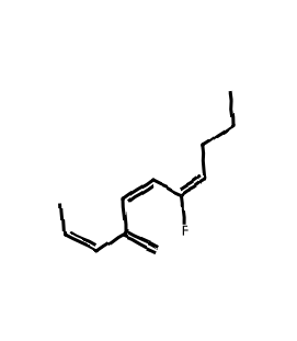 C=C(/C=C\C)/C=C\C(F)=C/CCC